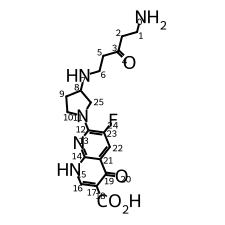 NCCC(=O)CCNC1CCN(c2nc3[nH]cc(C(=O)O)c(=O)c3cc2F)C1